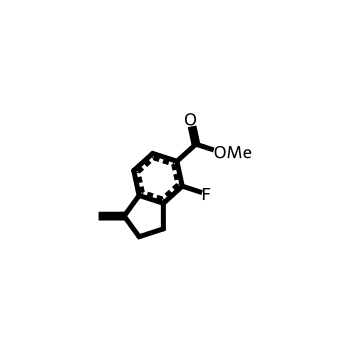 C=C1CCc2c1ccc(C(=O)OC)c2F